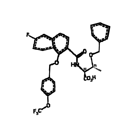 C[C@@H](OCc1ccccc1)[C@H](NC(=O)c1ccc2cc(F)ccc2c1OCc1ccc(OC(F)(F)F)cc1)C(=O)O